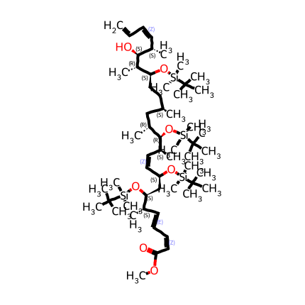 C=C/C=C\[C@H](C)[C@H](O)[C@@H](C)[C@H](CC[C@H](C)C[C@@H](C)[C@@H](O[Si](C)(C)C(C)(C)C)[C@@H](C)/C=C\[C@H](C[C@H](O[Si](C)(C)C(C)(C)C)[C@@H](C)/C=C/C=C\C(=O)OC)O[Si](C)(C)C(C)(C)C)O[Si](C)(C)C(C)(C)C